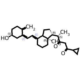 C=C1CC[C@H](O)C/C1=C/C=C1\CCC[C@@]2(C)C1CC[C@@H]2[C@H](C)C(=O)CC(=O)C1CC1